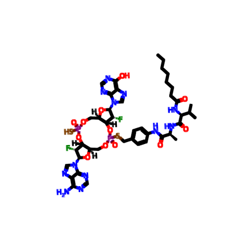 CCCCCCCC(=O)N[C@H](C(=O)N[C@@H](C)C(=O)Nc1ccc(CSP2(=O)OC[C@H]3O[C@@H](n4cnc5c(N)ncnc54)[C@H](F)[C@@H]3OP(=O)(S)OC[C@H]3O[C@@H](n4cnc5c(O)ncnc54)[C@H](F)[C@@H]3O2)cc1)C(C)C